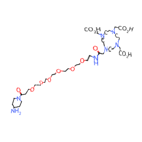 NC1CCN(C(=O)CCOCCOCCOCCOCCOCCOCCNC(=O)CN2CCN(CC(=O)O)CCN(CC(=O)O)CCN(CC(=O)O)CC2)CC1